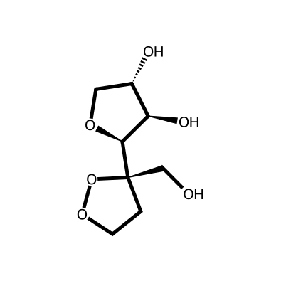 OC[C@@]1([C@H]2OC[C@H](O)[C@H]2O)CCOO1